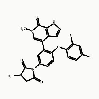 CC1CC(=O)N(c2ccc(Oc3ccc(F)cc3F)c(-c3cn(C)c(=O)c4[nH]ccc34)c2)C1=O